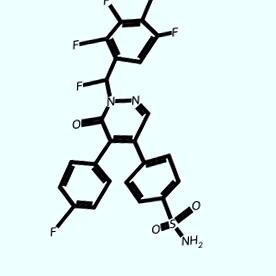 NS(=O)(=O)c1ccc(-c2cnn(C(F)c3cc(F)c(F)c(F)c3F)c(=O)c2-c2ccc(F)cc2)cc1